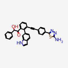 Nc1nnc(-c2ccc(C#Cc3cccc(C(=O)C(O)c4ccccc4)c3-c3ccc4cc[nH]c4c3)cc2)s1